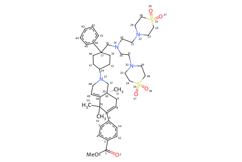 COC(=O)c1ccc(C2=CC[C@]3(C)CN(C4CCC(CN(CCN5CCS(=O)(=O)CC5)CCN5CCS(=O)(=O)CC5)(c5ccccc5)CC4)CC=C3C2(C)C)cc1